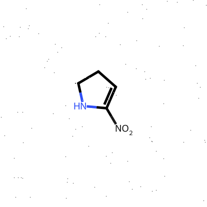 O=[N+]([O-])C1=CC[CH]N1